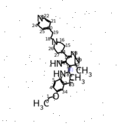 CCOc1ccc(N/C(C)=C2\C(=N)C(C3CCN(CCc4ccncc4)CC3)=NN=C2C)c(F)c1